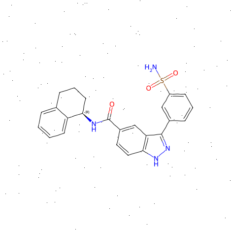 NS(=O)(=O)c1cccc(-c2n[nH]c3ccc(C(=O)N[C@@H]4CCCc5ccccc54)cc23)c1